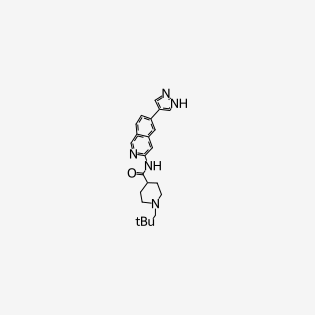 CC(C)(C)CN1CCC(C(=O)Nc2cc3cc(-c4cn[nH]c4)ccc3cn2)CC1